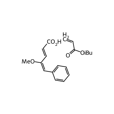 C=CC(=O)OCC(C)C.COC(C=CC(=O)O)=Cc1ccccc1